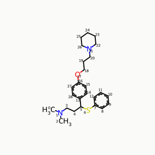 CN(C)CCC(Sc1ccccc1)c1ccc(OCCCN2CCCCC2)cc1